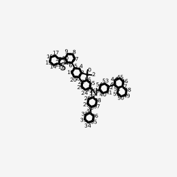 CC1(C)c2cc(-c3cccc4c3sc3ccccc34)ccc2-c2ccc(N(c3ccc(-c4ccccc4)cc3)c3ccc(-c4cccc5ccccc45)cc3)cc21